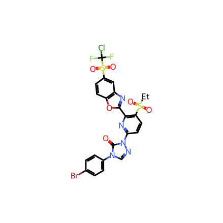 CCS(=O)(=O)c1ccc(-n2ncn(-c3ccc(Br)cc3)c2=O)nc1-c1nc2cc(S(=O)(=O)C(F)(F)Cl)ccc2o1